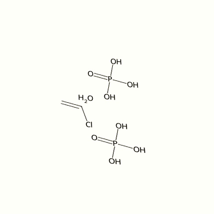 C=CCl.O.O=P(O)(O)O.O=P(O)(O)O